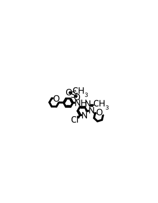 Cc1nc2c(Nc3ccc(C4CCCCO4)cc3S(C)(=O)=O)cc(Cl)nc2n1C1CCCCO1